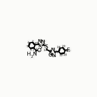 NC(=O)c1ccccc1-c1nnc(SCc2nc(-c3ccc(F)cc3)no2)s1